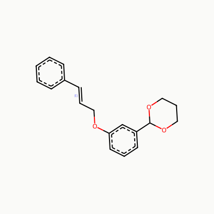 C(=C\c1ccccc1)/COc1cccc(C2OCCCO2)c1